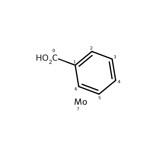 O=C(O)c1ccccc1.[Mo]